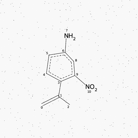 C=C(C)c1ccc(N)cc1[N+](=O)[O-]